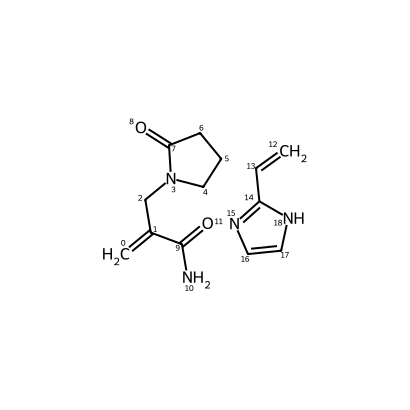 C=C(CN1CCCC1=O)C(N)=O.C=Cc1ncc[nH]1